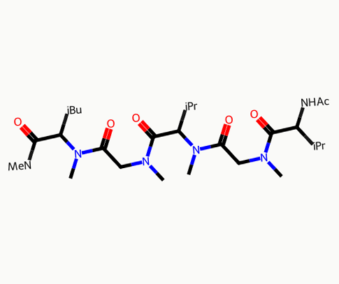 CCC(C)C(C(=O)NC)N(C)C(=O)CN(C)C(=O)C(C(C)C)N(C)C(=O)CN(C)C(=O)C(NC(C)=O)C(C)C